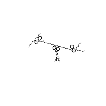 CCCCC(CCCC)OC(=O)CCCCCCCCC(CCCCCCCCC(=O)OC(CCCC)CCCC)OC(=O)CSCCN(CC)CC